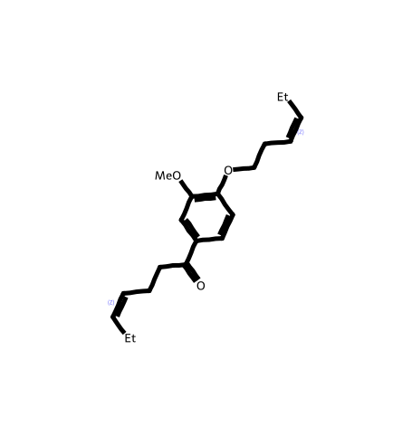 CC/C=C\CCOc1ccc(C(=O)CC/C=C\CC)cc1OC